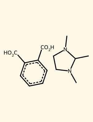 CC1N(C)CCN1C.O=C(O)c1ccccc1C(=O)O